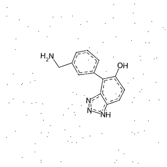 NCc1cccc(-c2c(O)ccc3[nH]nnc23)c1